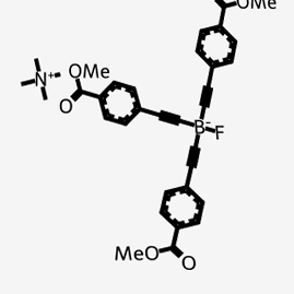 COC(=O)c1ccc(C#C[B-](F)(C#Cc2ccc(C(=O)OC)cc2)C#Cc2ccc(C(=O)OC)cc2)cc1.C[N+](C)(C)C